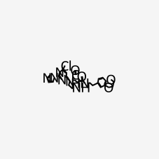 O=C=C1C(C(=O)NCCc2ccc3c(c2)OCCO3)NCCN1c1cc(Cl)nc(-n2ccnc2)n1